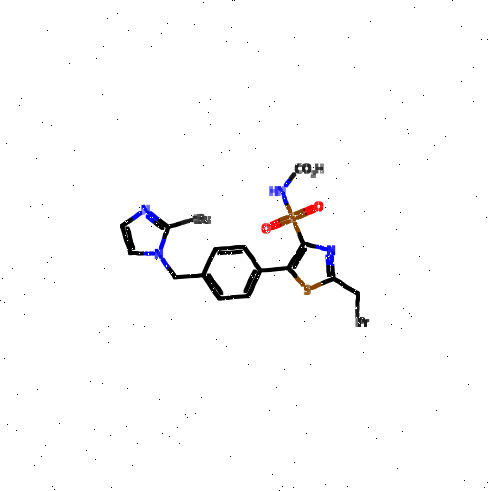 CC(C)Cc1nc(S(=O)(=O)NC(=O)O)c(-c2ccc(Cn3ccnc3C(C)(C)C)cc2)s1